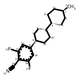 C[C@H]1CC[C@H]([C@H]2CC[C@H](c3cc(F)c(C#N)c(F)c3)CC2)CC1